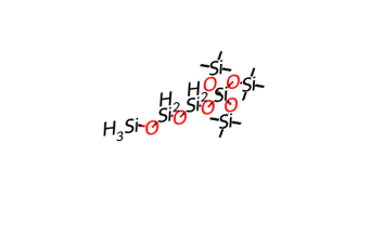 C[Si](C)(C)O[Si](O[SiH2]O[SiH2]O[SiH3])(O[Si](C)(C)C)O[Si](C)(C)C